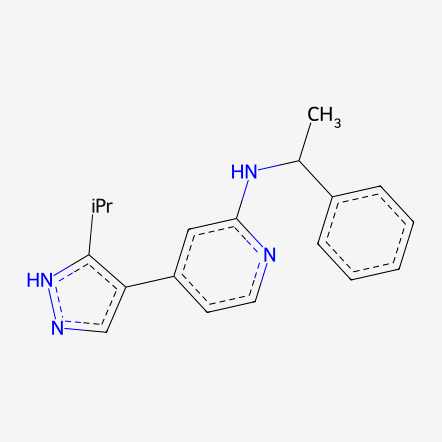 CC(C)c1[nH]ncc1-c1ccnc(NC(C)c2ccccc2)c1